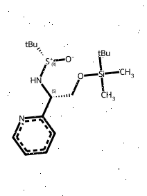 CC(C)(C)[S@+]([O-])N[C@H](CO[Si](C)(C)C(C)(C)C)c1ccccn1